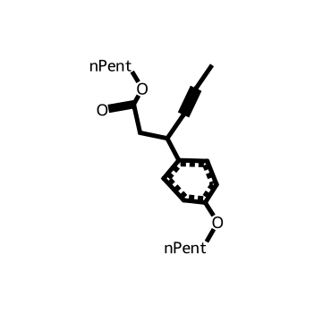 CC#CC(CC(=O)OCCCCC)c1ccc(OCCCCC)cc1